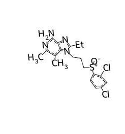 CCc1nc2c(N)nc(C)c(C)c2n1CCC[S+]([O-])c1ccc(Cl)cc1Cl